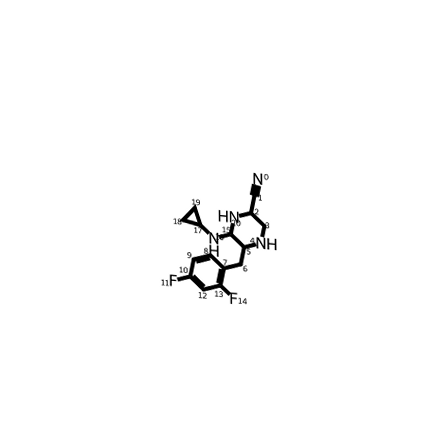 N#CC1CNC(Cc2ccc(F)cc2F)C(NC2CC2)N1